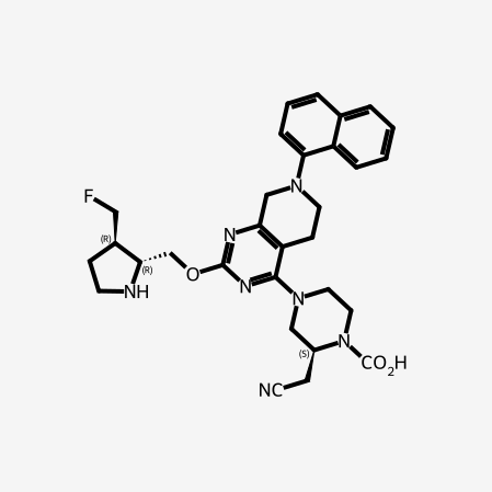 N#CC[C@H]1CN(c2nc(OC[C@@H]3NCC[C@H]3CF)nc3c2CCN(c2cccc4ccccc24)C3)CCN1C(=O)O